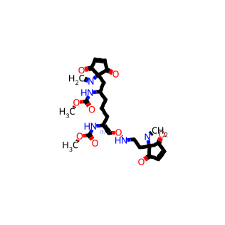 C=NC1(CCNO/C=C(\CCCC(CC2(N=C)C(=O)C=CC2=O)NC(=O)OC)NC(=O)OC)C(=O)C=CC1=O